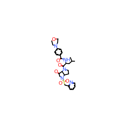 CC(C)CC(NC(=O)c1ccc(N2CCOCC2)cc1)C(=O)N1CCC2C1C(=O)CN2S(=O)(=O)Cc1ccccn1